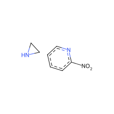 C1CN1.O=[N+]([O-])c1ccccn1